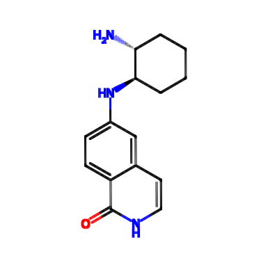 N[C@@H]1CCCC[C@H]1Nc1ccc2c(=O)[nH]ccc2c1